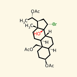 CC(=O)OC[C@]12CC[C@H](OC(C)=O)C[C@@H]1CC[C@@H]1[C@@H]2CC[C@]2(C)[C@@H]([C@H](C)OC(C)=O)C[C@H](Br)[C@]12O